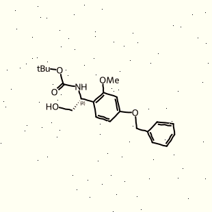 COc1cc(OCc2ccccc2)ccc1[C@H](CO)NC(=O)OC(C)(C)C